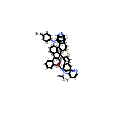 CC(C)C(C)N(c1cccnc1)c1ccc2c3c(c4ccccc4c2c1)-c1ccc(N(c2ccc(C(C)(C)C)cc2)c2cccnc2)cc1C31c2cc3ccccc3cc2Sc2cc3ccccc3cc21